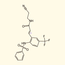 N#CCCNC(=O)/C=C/c1cc(C(F)(F)F)ccc1NS(=O)(=O)c1ccccc1